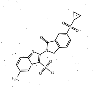 CCS(=O)(=O)c1c(N2Cc3ccc(S(=O)(=O)C4CC4)cc3C2=O)nc2ccc(C(F)(F)F)cn12